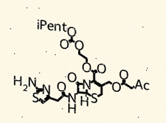 CCCC(C)OC(=O)OCCOC(=O)C1=C(COC(=O)CC(C)=O)CS[C@H]2[C@@H](NC(=O)Cc3csc(N)n3)C(=O)N12